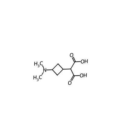 CN(C)C1CC(C(C(=O)O)C(=O)O)C1